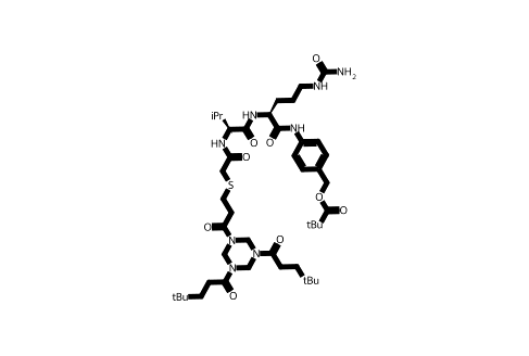 CC(C)[C@H](NC(=O)CSCCC(=O)N1CN(C(=O)CCC(C)(C)C)CN(C(=O)CCC(C)(C)C)C1)C(=O)N[C@@H](CCCNC(N)=O)C(=O)Nc1ccc(COC(=O)C(C)(C)C)cc1